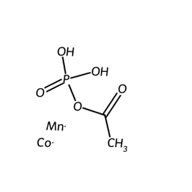 CC(=O)OP(=O)(O)O.[Co].[Mn]